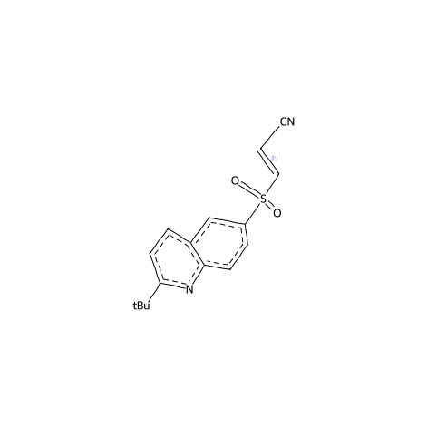 CC(C)(C)c1ccc2cc(S(=O)(=O)/C=C/C#N)ccc2n1